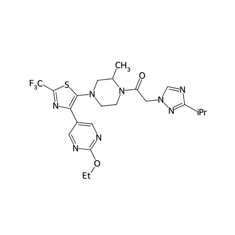 CCOc1ncc(-c2nc(C(F)(F)F)sc2N2CCN(C(=O)Cn3cnc(C(C)C)n3)C(C)C2)cn1